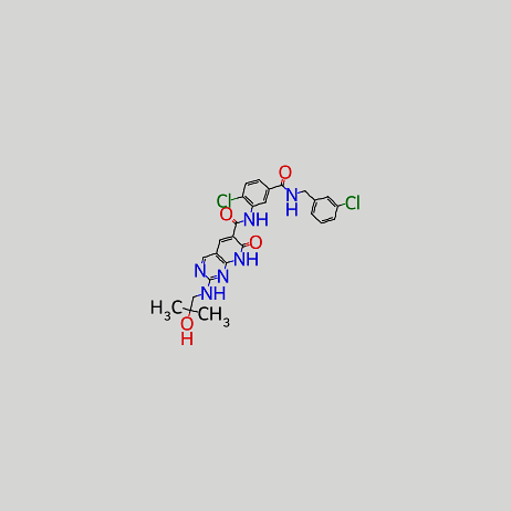 CC(C)(O)CNc1ncc2cc(C(=O)Nc3cc(C(=O)NCc4cccc(Cl)c4)ccc3Cl)c(=O)[nH]c2n1